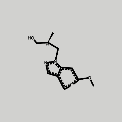 COc1ccc2cnn(C[C@H](C)CO)c2c1